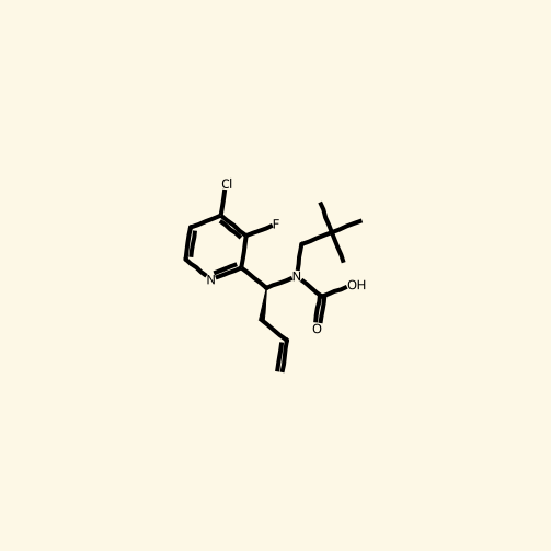 C=CC[C@@H](c1nccc(Cl)c1F)N(CC(C)(C)C)C(=O)O